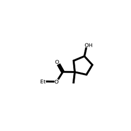 CCOC(=O)C1(C)CCC(O)C1